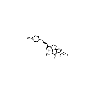 CC(=O)N1CCN(C/C=C/C(=O)N2CC[C@H]3[C@H]2[C@@H](C(C)C)C(=O)N3S(C)(=O)=O)CC1